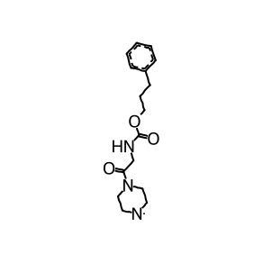 O=C(NCC(=O)N1CC[N]CC1)OCCCc1ccccc1